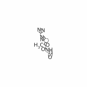 Cc1c(C(=O)NC[C@@H]2COCCO2)oc2c1-c1nn(Cc3cncnc3)cc1CC2